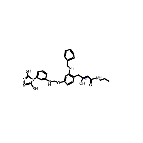 CCCNC(=O)/C=C(\O)Cc1ccc(OCNc2cccc(-n3c(S)nnc3S)c2)cc1NCc1ccccc1